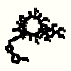 CC[C@H]1OC(=O)[C@H](C)C(=O)[C@H](C)[C@@H](O[C@@H]2OC(C)CC(N(C)C)C2O)[C@](C)(OC)C[C@@H](C)C(=O)[C@H](C)[C@H]2N(CC#CCn3cc(-c4cccc(N)c4)nn3)C(=O)O[C@]12C